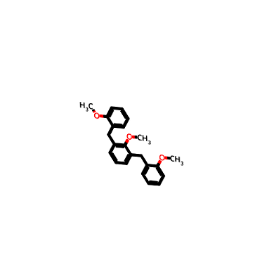 COc1ccccc1Cc1cccc(Cc2ccccc2OC)c1OC